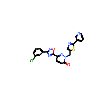 O=c1ccc(-c2nc(-c3cccc(Cl)c3)no2)nn1Cc1cnc(-c2cccnc2)s1